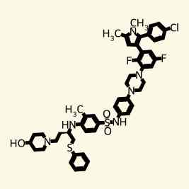 Cc1cc(S(=O)(=O)Nc2ccc(N3CCN(c4cc(F)cc(-c5cc(C)n(C)c5-c5ccc(Cl)cc5)c4F)CC3)cc2)ccc1N[C@H](CCN1CCC(O)CC1)CSc1ccccc1